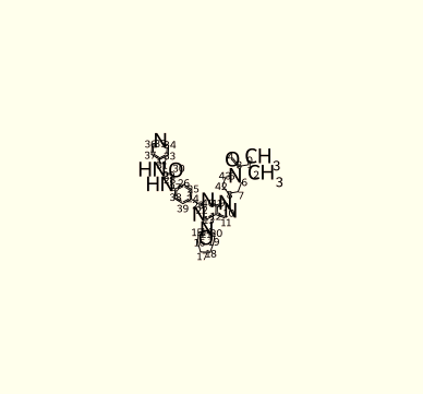 CC(C)C(=O)N1CCC(n2ncc3c(N4CC5CCC(C4)O5)nc(-c4ccc(NC(=O)Nc5ccncc5)cc4)nc32)CC1